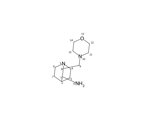 NC1C2CCN(CC2)C1CN1CCOCC1